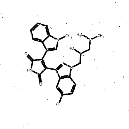 CN(C)CC(O)Cn1nc(C2=C(c3cn(C)c4ccccc34)C(=O)NC2=O)c2cc(Cl)ccc21